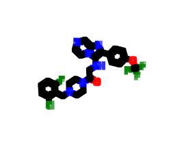 O=C(CNc1c(-c2ccc(OC(F)(F)F)cc2)nc2cnccn12)N1CCN(Cc2c(F)cccc2Cl)CC1